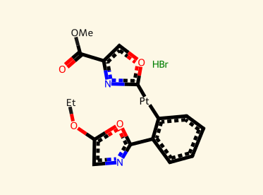 Br.CCOc1cnc(-c2cccc[c]2[Pt][c]2nc(C(=O)OC)co2)o1